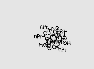 CCCC(=O)O[C@@H]1[C@H](OC(=O)CCC)[C@H](OP(=O)(O)O)[C@@H](OP(=O)(O)O)[C@H](OC(=O)CCC)[C@H]1OP(=O)(O)O